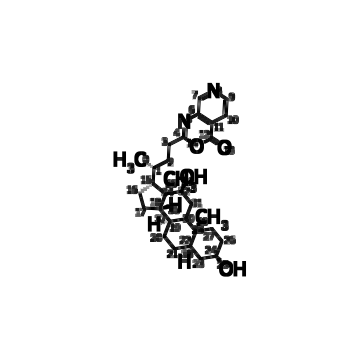 C[C@H](CCc1nc2cnccc2c(=O)o1)[C@H]1CC[C@H]2[C@@H]3CC[C@@H]4C[C@H](O)CC[C@]4(C)C3C[C@H](O)[C@]12C